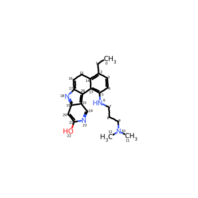 CCc1ccc(NCCCN(C)C)c2c1CC=C1N=c3cc(O)ncc3=C12